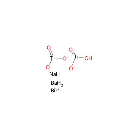 [BaH2].[Bi+3].[NaH].[O]=[Ti]([O-])[O-].[O]=[Ti]([O-])[OH]